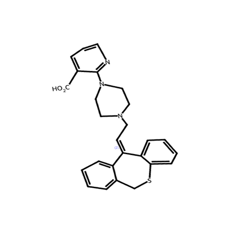 O=C(O)c1cccnc1N1CCN(C/C=C2/c3ccccc3CSc3ccccc32)CC1